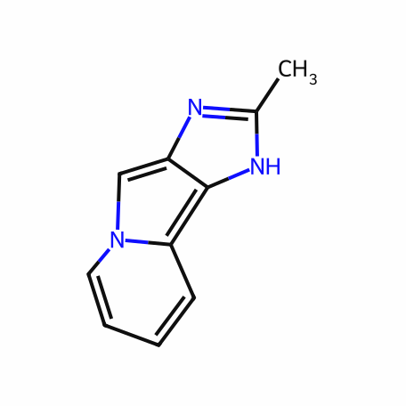 Cc1nc2cn3ccccc3c2[nH]1